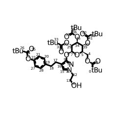 CC(C)(C)C(=O)OC[C@H]1O[C@@H](Oc2nn(CCO)cc2CCc2ccc(OC(=O)C(C)(C)C)cc2)[C@H](OC(=O)C(C)(C)C)[C@@H](OC(=O)C(C)(C)C)[C@@H]1OC(=O)C(C)(C)C